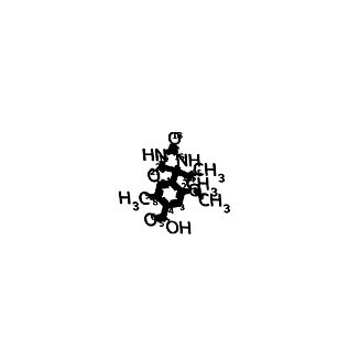 COc1cc(C(=O)O)c(C)cc1C1(C(C)C)NC(=O)NC1=O